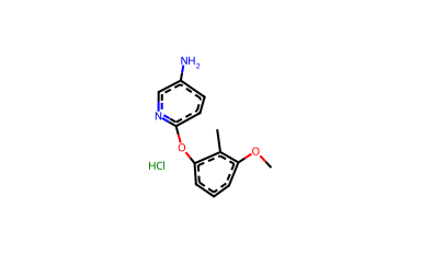 COc1cccc(Oc2ccc(N)cn2)c1C.Cl